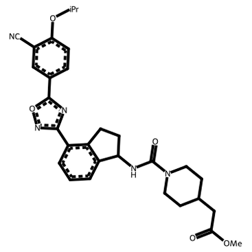 COC(=O)CC1CCN(C(=O)NC2CCc3c(-c4noc(-c5ccc(OC(C)C)c(C#N)c5)n4)cccc32)CC1